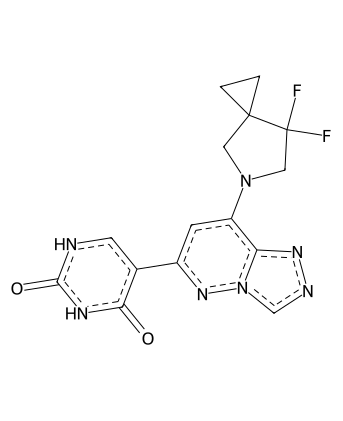 O=c1[nH]cc(-c2cc(N3CC(F)(F)C4(CC4)C3)c3nncn3n2)c(=O)[nH]1